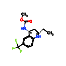 CC[C@H]1C[C@@H](NC(=O)OC)c2cc(C(F)(F)F)ccc2N1